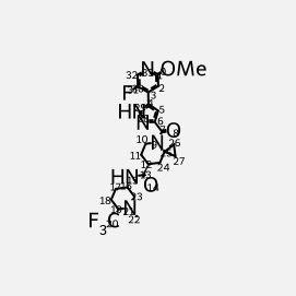 COc1cc(-c2cc(C(=O)N3CC[C@H](C(=O)N[C@H]4CC[C@H](C(F)(F)F)N(C)C4)CC34CC4)n[nH]2)c(F)cn1